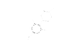 CN1CCN(c2c(Cl)cc(N=O)cc2Cl)CC1